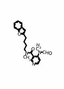 CN(CCCCc1cc2ccccc2o1)C(=O)c1cnccc1N(C)C=O